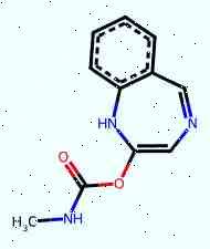 CNC(=O)OC1=CN=Cc2ccccc2N1